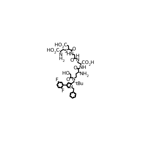 CC(C)(C)[C@H](c1cc(-c2cc(F)ccc2F)cn1Cc1ccccc1)N(CC[C@H](N)C(=O)N[C@H](CNC(=O)CNC(=O)C(CC(=O)O)SC[C@H](N)C(=O)O)C(=O)O)C(=O)CO